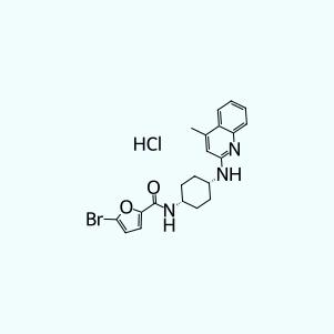 Cc1cc(N[C@H]2CC[C@@H](NC(=O)c3ccc(Br)o3)CC2)nc2ccccc12.Cl